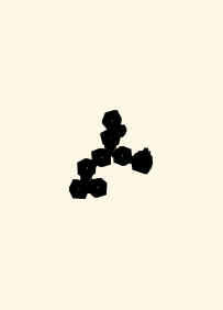 C[C@H]1CC2CC3CC(c4ccc(N(c5ccc(-c6cccc(-n7c8ccccc8c8ccccc87)c6)cc5)c5ccc6c(c5)C(C)(C)c5ccccc5-6)cc4)(C1)C[C@H]23